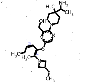 CC/C=C\C(Sc1cnc(N2CCC(C)(C(C)N)CC2)c(CO)n1)=C(/C)N1CC(CC)C1